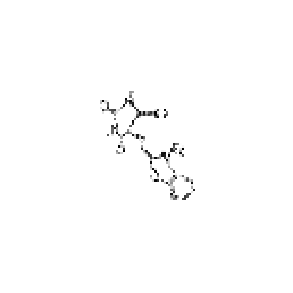 CCN1C(=CC=C2C(=O)N(C)C(=O)N(C)C2=O)Oc2ccccc21